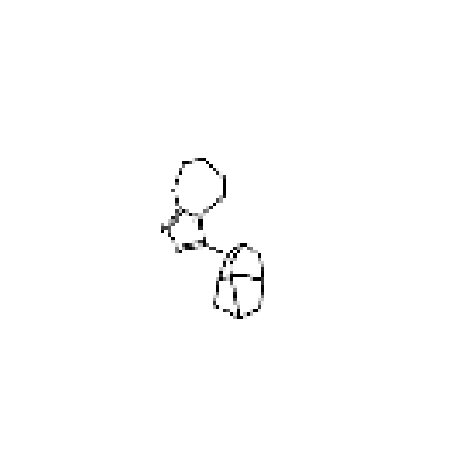 C1CCc2nnc(C3C4CC5CC(C4)CC3C5)n2CC1